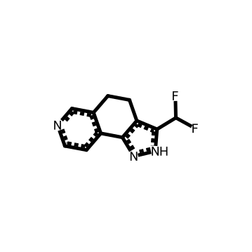 FC(F)c1[nH]nc2c1CCc1cnccc1-2